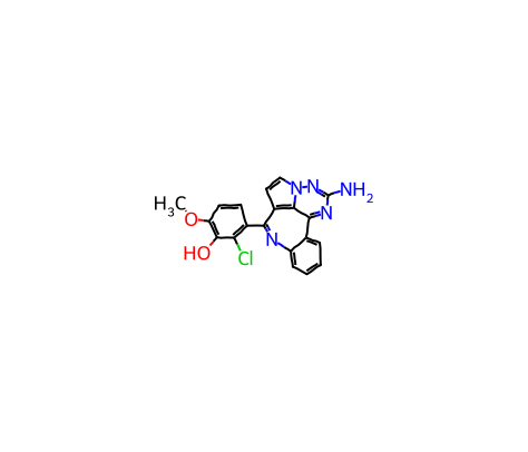 COc1ccc(C2=Nc3ccccc3-c3nc(N)nn4ccc2c34)c(Cl)c1O